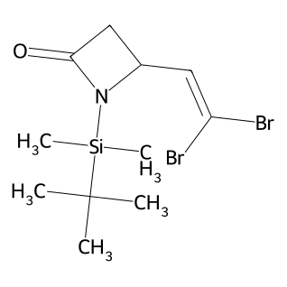 CC(C)(C)[Si](C)(C)N1C(=O)CC1C=C(Br)Br